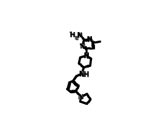 Cc1cc(N2CCC(NCc3cccc(N4CCCC4)c3)CC2)nc(N)n1